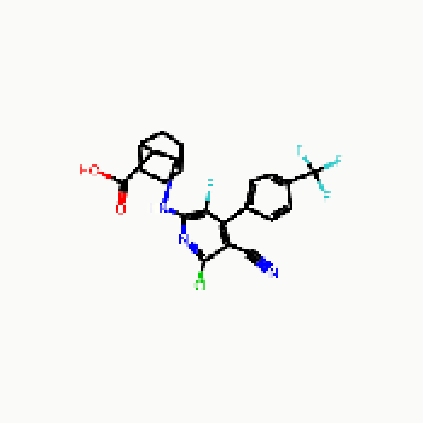 N#Cc1c(Cl)nc(NC2C3CCC(CC3)C2C(=O)O)c(F)c1-c1ccc(C(F)(F)F)cc1